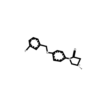 C[C@H]1CC(=O)N(c2ccc(OCc3cccc(F)c3)cc2)C1